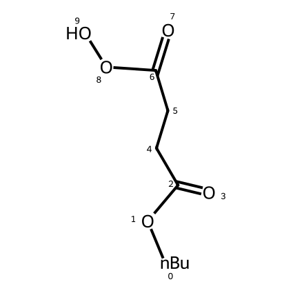 CCCCOC(=O)CCC(=O)OO